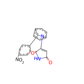 O=C1C=C(N2C(c3ccc([N+](=O)[O-])cc3)=Cc3ccc2cc3)C(=O)N1